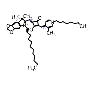 CCCCCCCCCCCC[N+]1=C(/C=C2/C(=O)C(/C=C3\C=CN(CCCCCCCC)C=C3C)=C2O)C(C)(C)c2cc3c(cc21)OCO3